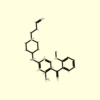 COc1ccccc1C(=O)c1cnc(NC2CCN(CCC=O)CC2)nc1N